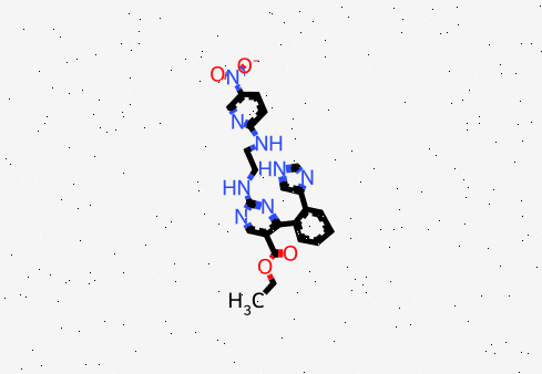 CCOC(=O)c1cnc(NCCNc2ccc([N+](=O)[O-])cn2)nc1-c1ccccc1-c1c[nH]cn1